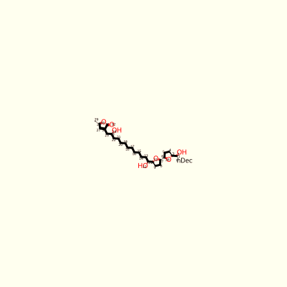 CCCCCCCCCC[C@@H](O)[C@@H]1CCC([C@@H]2CC[C@@H]([C@@H](O)CCCCCCCCCC[C@@H](O)CC3=C[C@H](C)OC3=O)O2)O1